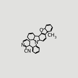 CC12C=CC=CC1OC1=C2C=CC2C1C1C=CCCC1N2c1ccccc1C1CC=CN=C1C#N